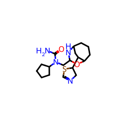 NC(=O)N(CC1NC2CCCC(O1)C(C1CN=CS1)C2)C1CCCC1